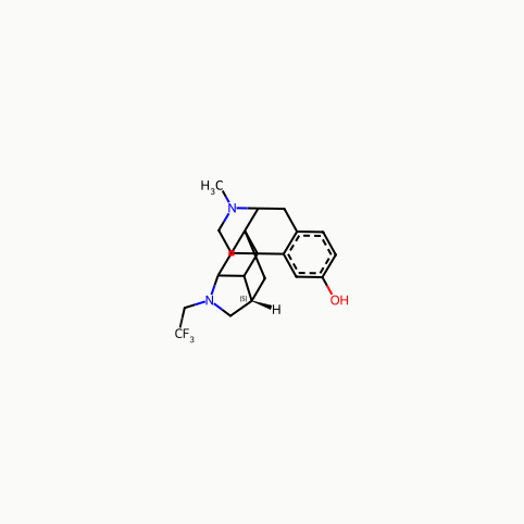 CN1CCC23c4cc(O)ccc4CC1C21CCC2C3[C@@H](CN2CC(F)(F)F)C1